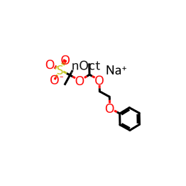 CCCCCCCCC(C)(OC(C)OCCOc1ccccc1)S(=O)(=O)[O-].[Na+]